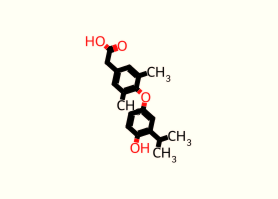 Cc1cc(CC(=O)O)cc(C)c1Oc1ccc(O)c(C(C)C)c1